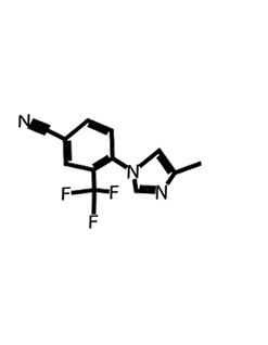 Cc1cn(-c2ccc(C#N)cc2C(F)(F)F)cn1